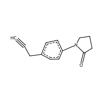 C#CCc1ccc(N2CCCC2=O)cc1